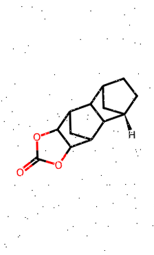 O=C1OC2C3CC(C2O1)C1C3C2CC[C@H]1C2